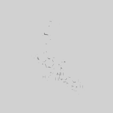 CCOC(=O)CCCOc1cc([N+](=O)[O-])c(C(C)NNC(=O)OC(C)(C)C)cc1OC